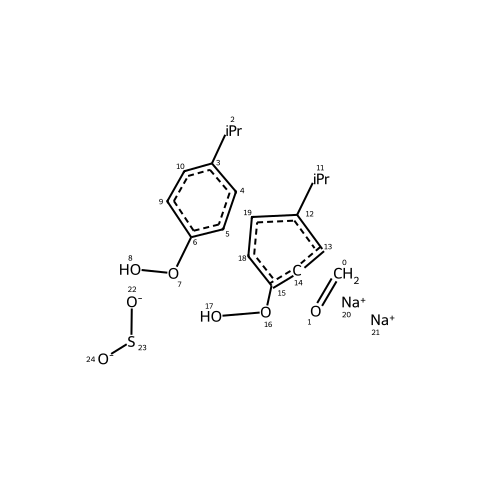 C=O.CC(C)c1ccc(OO)cc1.CC(C)c1ccc(OO)cc1.[Na+].[Na+].[O-]S[O-]